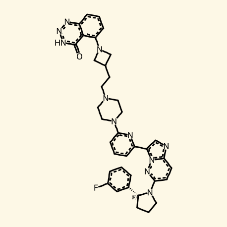 O=c1[nH]nnc2cccc(N3CC(CCN4CCN(c5cccc(-c6cnc7ccc(N8CCC[C@@H]8c8cccc(F)c8)nn67)n5)CC4)C3)c12